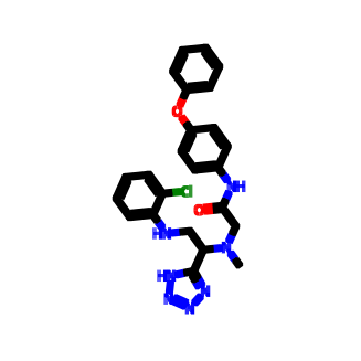 CN(CC(=O)Nc1ccc(Oc2ccccc2)cc1)C(CNc1ccccc1Cl)c1nnn[nH]1